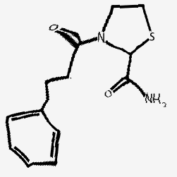 NC(=O)C1SCCN1C(=O)[CH]Cc1ccccc1